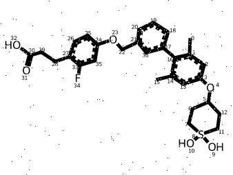 Cc1cc(OC2CCS(O)(O)CC2)cc(C)c1-c1cccc(COc2ccc(CCC(=O)O)c(F)c2)c1